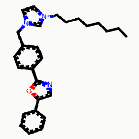 CCCCCCCC[n+]1ccn(Cc2ccc(-c3ncc(-c4ccccc4)o3)cc2)c1